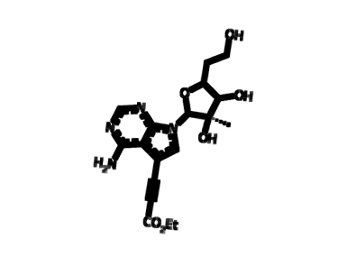 CCOC(=O)C#Cc1cn(C2OC(CCO)C(O)[C@@]2(C)O)c2ncnc(N)c12